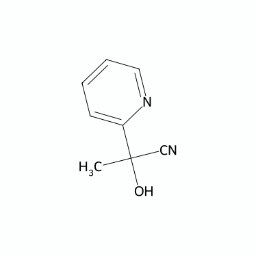 CC(O)(C#N)c1ccccn1